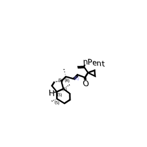 C=C(CCCCC)C1(C(=O)/C=C/[C@@H](C)[C@H]2CC[C@H]3[C@@H](C)CCC[C@]23C)CC1